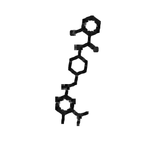 Cc1cnc(NCC2CCC(NC(=O)c3ccccc3Cl)CC2)nc1N(C)C